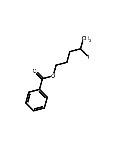 CC(I)CCCOC(=O)c1ccccc1